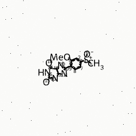 COc1cc([S+](C)[O-])ccc1C1=NC2=NC(=O)NC(=O)C2=N1